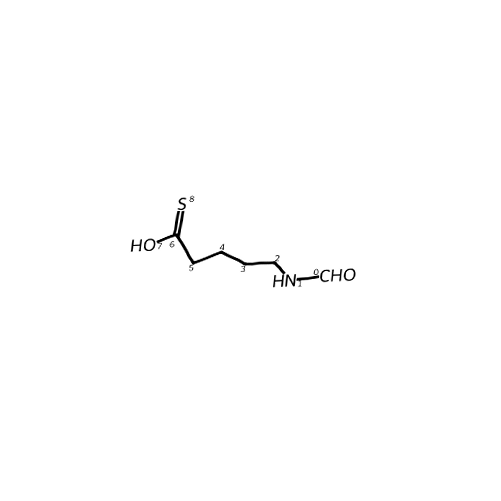 O=CNCCCCC(O)=S